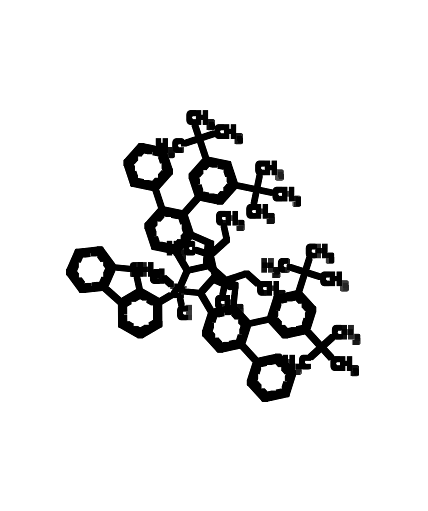 CCC(C)C1=Cc2c(ccc(-c3ccccc3)c2-c2cc(C(C)(C)C)cc(C(C)(C)C)c2)[CH]1[Zr]([Cl])([Cl])([c]1cccc2c1[SiH2]c1ccccc1-2)[CH]1C(C(C)CC)=Cc2c1ccc(-c1ccccc1)c2-c1cc(C(C)(C)C)cc(C(C)(C)C)c1